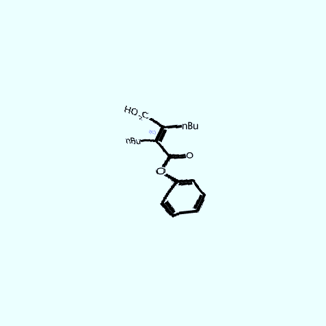 CCCC/C(C(=O)O)=C(/CCCC)C(=O)Oc1ccccc1